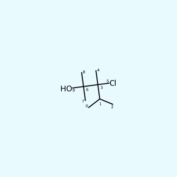 CC(C)C(C)(Cl)C(C)(C)O